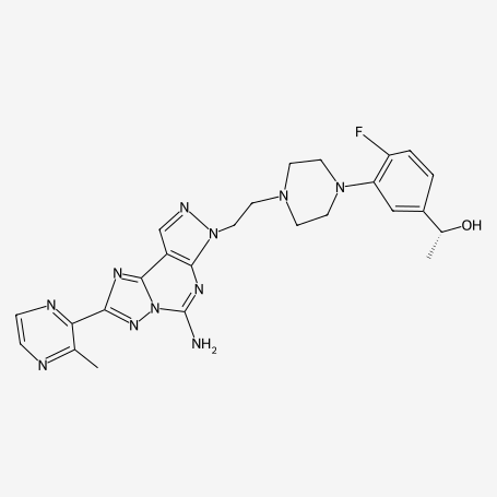 Cc1nccnc1-c1nc2c3cnn(CCN4CCN(c5cc([C@@H](C)O)ccc5F)CC4)c3nc(N)n2n1